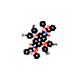 CC(C)c1ccc(Oc2cc3c4c(cc(Oc5ccc(C(C)C)cc5)c5c6c(Oc7ccc(C(C)C)cc7)cc7c8c(cc(Oc9ccc(C(C)C)cc9)c(c2c45)c86)C(=O)N(C(Cc2ccccc2)C(=O)Oc2ccccc2)C7=O)C(=O)N(C(Cc2ccccc2)C(=O)Oc2ccccc2)C3=O)cc1